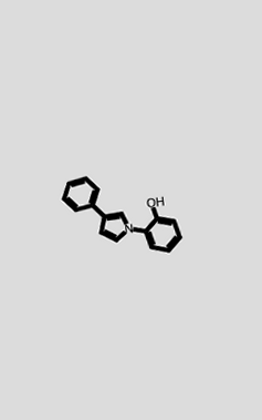 Oc1ccccc1-n1ccc(-c2ccccc2)c1